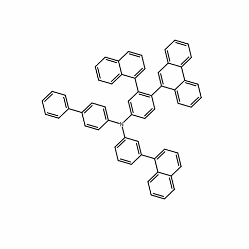 c1ccc(-c2ccc(N(c3cccc(-c4cccc5ccccc45)c3)c3ccc(-c4cc5ccccc5c5ccccc45)c(-c4cccc5ccccc45)c3)cc2)cc1